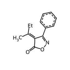 CC/C(C)=C1/C(=O)ON=C1c1ccccc1